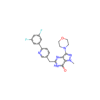 Cn1nc(N2CCOCC2)c2nc(Cc3ccc(-c4cc(F)cc(F)c4)nc3)[nH]c(=O)c21